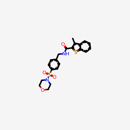 Cc1c(C(=O)NCc2ccc(S(=O)(=O)N3CCOCC3)cc2)sc2ccccc12